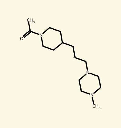 CC(=O)N1CCC(C[CH]CN2CCN(C)CC2)CC1